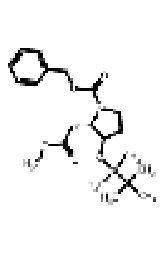 COC(=O)C[C@H]1C(O[Si](C)(C)C(C)(C)C)CCN1C(=O)OCc1ccccc1